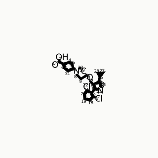 O=C(O)c1ccc(N2CCC(OCc3c(-c4c(Cl)cccc4Cl)noc3C3CC3)CC2)cc1